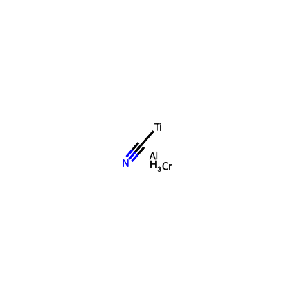 N#[C][Ti].[AlH3].[Cr]